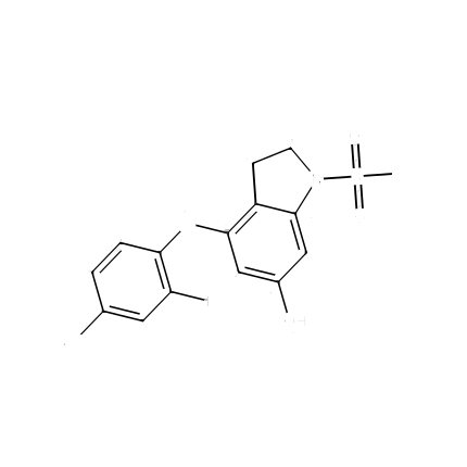 CCS(=O)(=O)N1CCc2c(Oc3ccc(F)cc3F)cc(O)cc21